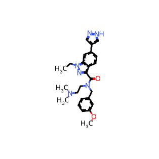 CCn1nc(C(=O)N(CCN(C)C)Cc2cccc(OC)c2)c2ccc(-c3cn[nH]c3)cc21